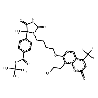 CCCc1c(OCCCCN2C(=O)NC(=O)C2(C)c2ccc(C(=O)OC(C)(C)C)cc2)ccc2c(C(F)(F)F)cc(=O)oc12